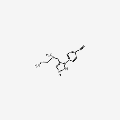 CN(CCN)CC1=CNNN1c1ccc(C#N)cc1